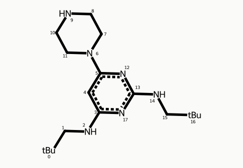 CC(C)(C)CNc1cc(N2CCNCC2)nc(NCC(C)(C)C)n1